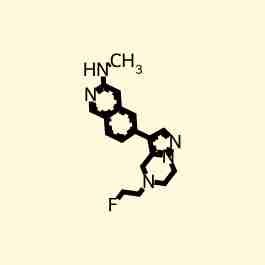 CNc1cc2cc(-c3cnn4c3CN(CCF)CC4)ccc2cn1